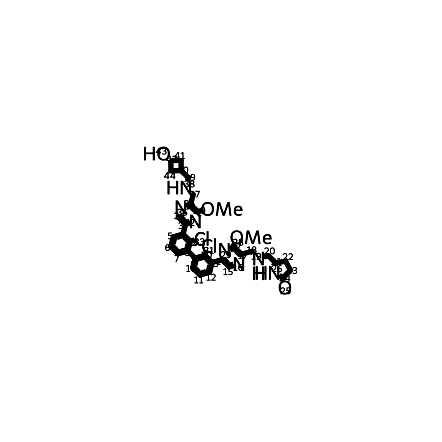 COc1nc(-c2cccc(-c3cccc(-c4cnc(CNCC5CCC(=O)N5)c(OC)n4)c3Cl)c2Cl)cnc1CNCC1CC(O)C1